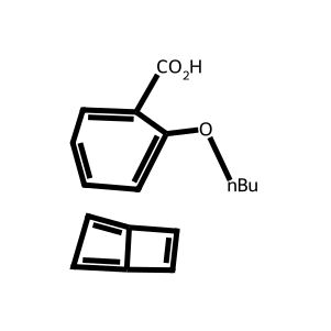 CCCCOc1ccccc1C(=O)O.c1cc2ccc1-2